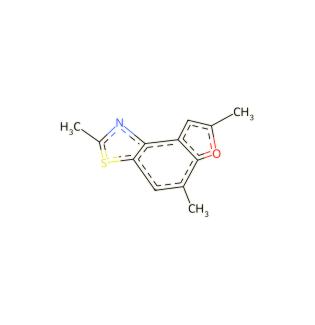 Cc1cc2c(o1)c(C)cc1sc(C)nc12